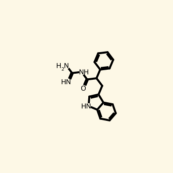 N=C(N)NC(=O)C(Cc1c[nH]c2ccccc12)c1ccccc1